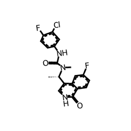 C[C@@H](c1c[nH]c(=O)c2ccc(F)cc12)N(C)C(=O)Nc1ccc(F)c(Cl)c1